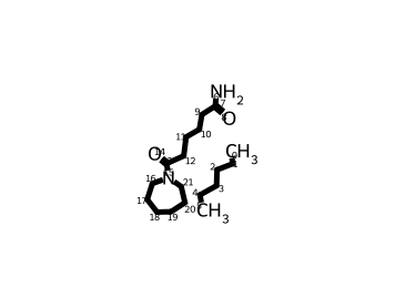 CCCCCC.NC(=O)CCCCC(=O)N1CCCCCC1